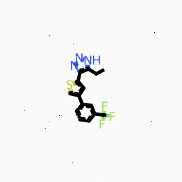 CCc1[nH]nnc1-c1cc(-c2cccc(C(F)(F)F)c2)cs1